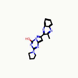 Cc1nc2ccccc2nc1-c1cc2nc(N3CCCC3)nc(O)n2n1